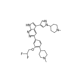 CN1CCC(c2ccc(-c3cc4c(-c5cnn(C6CCN(C)CC6)c5)c[nH]c4nn3)cc2OCC(F)F)CC1